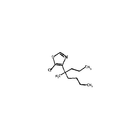 CCCCC(C)(CCC)c1ncoc1Cl